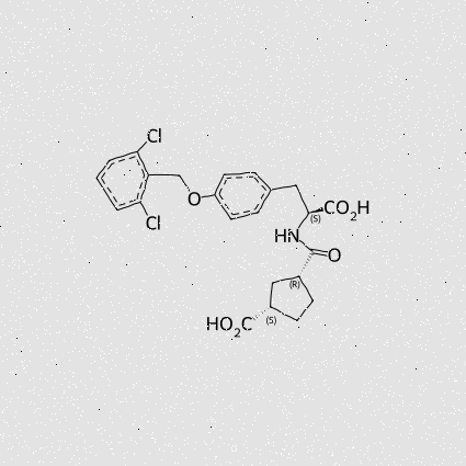 O=C(O)[C@H]1CC[C@@H](C(=O)N[C@@H](Cc2ccc(OCc3c(Cl)cccc3Cl)cc2)C(=O)O)C1